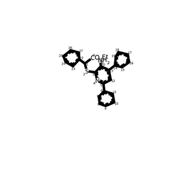 CCOC(=O)C(Sc1nc(-c2ccccc2)cc(-c2ccccc2)c1N)c1ccccc1